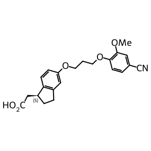 COc1cc(C#N)ccc1OCCCOc1ccc2c(c1)CC[C@H]2CC(=O)O